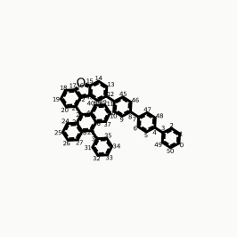 c1ccc(-c2ccc(-c3ccc(-c4ccc5oc6cccc(-c7c8ccccc8c(-c8ccccc8)c8ccccc78)c6c5c4)cc3)cc2)cc1